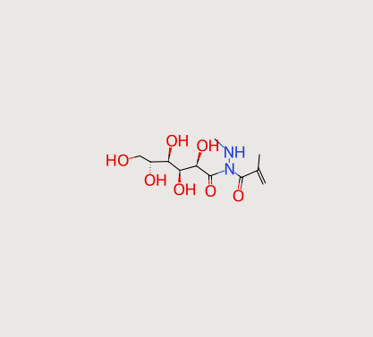 C=C(C)C(=O)N(NC)C(=O)[C@H](O)[C@@H](O)[C@H](O)[C@H](O)CO